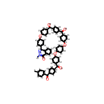 Cc1ccc(C(=O)c2ccc(C(=O)c3ccc(Oc4ccc(Oc5ccc(C(=O)c6ccc(C(=O)c7ccc(Oc8ccc(-c9nn(C)c(=O)c%10ccccc9%10)cc8)cc7)cc6)cc5)cc4)cc3)cc2)cc1